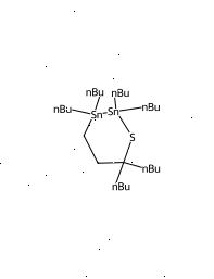 CCCCC1(CCCC)C[CH2][Sn]([CH2]CCC)([CH2]CCC)[Sn]([CH2]CCC)([CH2]CCC)[S]1